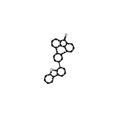 O=c1c2cccc3c4ccc(-c5cccc6c5oc5ccccc56)cc4c4cccc1c4c23